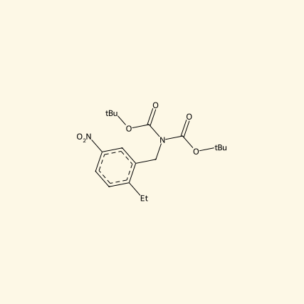 CCc1ccc([N+](=O)[O-])cc1CN(C(=O)OC(C)(C)C)C(=O)OC(C)(C)C